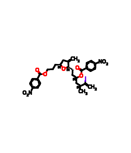 C=C(I)[C@H](C)C[C@@H](CC[C@@H]1O[C@@H](CCCOC(=O)c2ccc([N+](=O)[O-])cc2)CC1=C)OC(=O)c1ccc([N+](=O)[O-])cc1